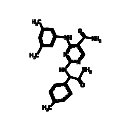 Cc1ccc(C(Nc2ncc(C(N)=O)c(Nc3cc(C)cc(C)c3)n2)C(N)=O)cc1